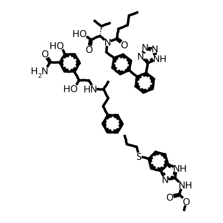 CC(CCc1ccccc1)NCC(O)c1ccc(O)c(C(N)=O)c1.CCCCC(=O)N(Cc1ccc(-c2ccccc2-c2nnn[nH]2)cc1)[C@H](C(=O)O)C(C)C.CCCSc1ccc2[nH]c(NC(=O)OC)nc2c1